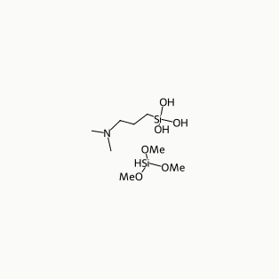 CN(C)CCC[Si](O)(O)O.CO[SiH](OC)OC